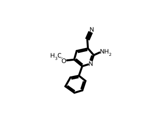 COc1cc(C#N)c(N)nc1-c1ccccc1